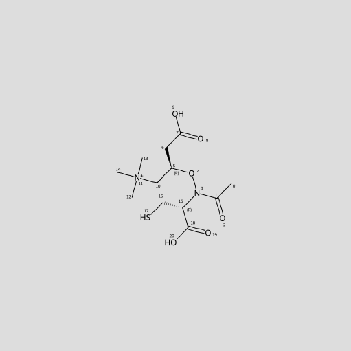 CC(=O)N(O[C@H](CC(=O)O)C[N+](C)(C)C)[C@@H](CS)C(=O)O